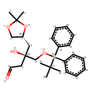 CC1(C)OC[C@@H](C[C@@](O)(CC=O)CO[Si](c2ccccc2)(c2ccccc2)C(C)(C)C)O1